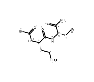 CCC(=O)N[C@@H](CCC(=O)O)C(=O)N[C@@H](CC(C)C)C(N)=O